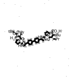 CC(C)C[C@H](C(=O)N1CCC[C@H]1c1ncc(-c2ccc(-c3ccc(-c4c[nH]c([C@@H]5CCCN5C(=O)[C@H](CC(C)C)N(C)C(=O)OC(C)(C)C)n4)cc3)cc2)[nH]1)C(NC(=O)O)C(C)(C)C